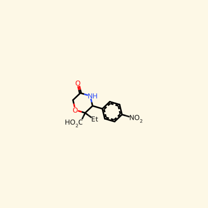 CCC1(C(=O)O)OCC(=O)NC1c1ccc([N+](=O)[O-])cc1